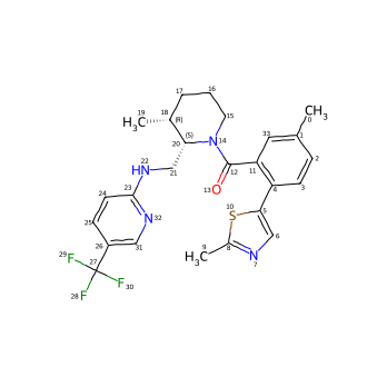 Cc1ccc(-c2cnc(C)s2)c(C(=O)N2CCC[C@@H](C)[C@H]2CNc2ccc(C(F)(F)F)cn2)c1